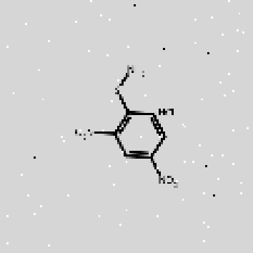 Cl.NSc1ccc([N+](=O)[O-])cc1[N+](=O)[O-]